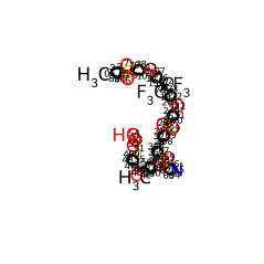 Cc1ccc(S(=O)(=O)c2ccc(Oc3ccc(C(c4ccc(Oc5ccc(S(=O)(=O)c6ccc(-c7ccc(-c8ccc(C)c(C(=O)c9cccc(SOOO)c9)c8)c(S(=O)(=O)c8cccnc8)c7)cc6)cc5)cc4)(C(F)(F)F)C(F)(F)F)cc3)cc2)cc1